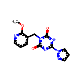 COc1ncccc1Cn1c(=O)nc(-n2cccn2)[nH]c1=O